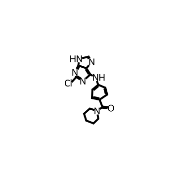 O=C(c1ccc(Nc2nc(Cl)nc3[nH]cnc23)cc1)N1CCCCC1